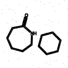 C1CCCCC1.O=C1CCCCCN1